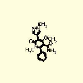 COc1c(C(N)=O)c(-c2ccccc2)n(C)c(=O)c1-c1cnn(C)c1